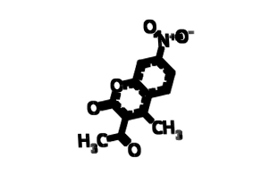 CC(=O)c1c(C)c2ccc([N+](=O)[O-])cc2oc1=O